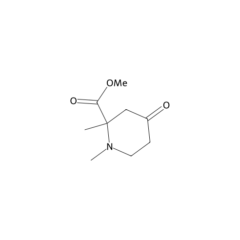 COC(=O)C1(C)CC(=O)CCN1C